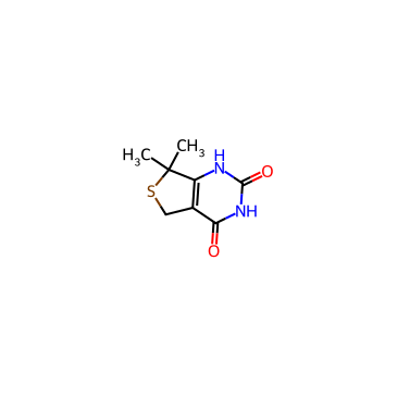 CC1(C)SCc2c1[nH]c(=O)[nH]c2=O